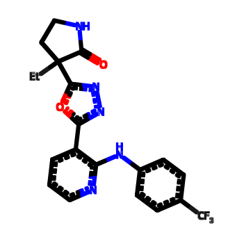 CCC1(c2nnc(-c3cccnc3Nc3ccc(C(F)(F)F)cc3)o2)CCNC1=O